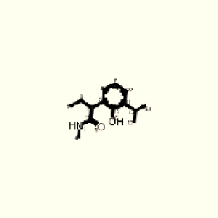 CCC(C(=O)NC)c1cccc(C(C)C)c1O